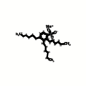 CCCCCCc1ccc(S(=O)(=O)[O-])c(CCCCCC)c1CCCCCC.[Na+]